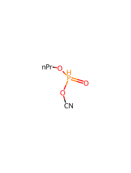 CCCO[PH](=O)OC#N